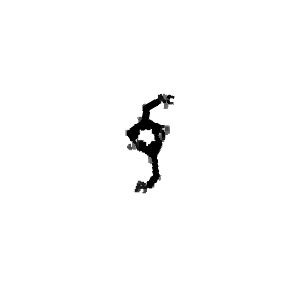 [C-]#[N+]Cc1cnc(CC(C)C)s1